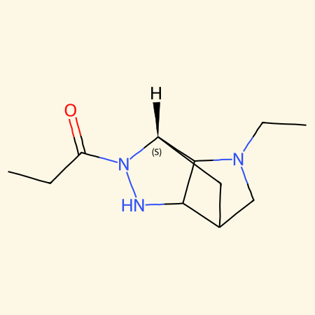 CCC(=O)N1NC2C3C[C@H]1C2N(CC)C3